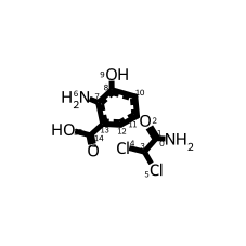 NC(=O)C(Cl)Cl.Nc1c(O)cccc1C(=O)O